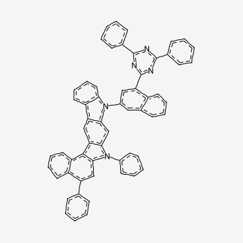 c1ccc(-c2nc(-c3ccccc3)nc(-c3cc(-n4c5ccccc5c5cc6c7c8ccccc8c(-c8ccccc8)cc7n(-c7ccccc7)c6cc54)cc4ccccc34)n2)cc1